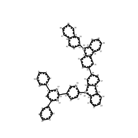 c1ccc(-c2cc(-c3ccccc3)nc(-c3ccc(-n4c5ccccc5c5ccc(-c6ccc7c(c6)c6ccccc6n7-c6ccc7ccccc7c6)cc54)nc3)n2)cc1